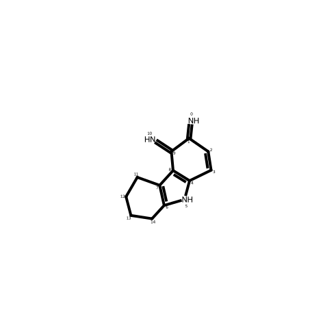 N=C1C=Cc2[nH]c3c(c2C1=N)CCCC3